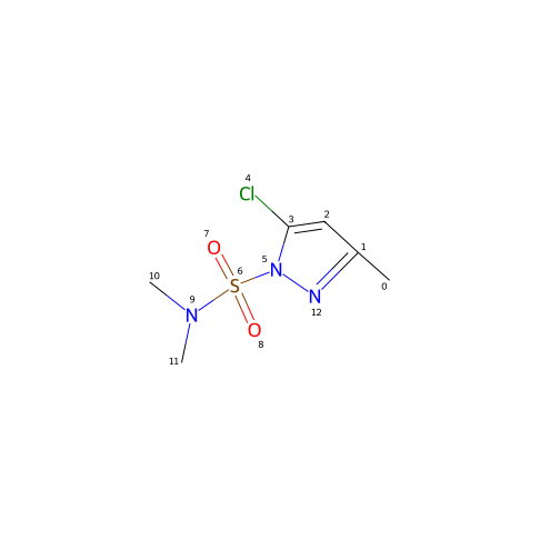 Cc1cc(Cl)n(S(=O)(=O)N(C)C)n1